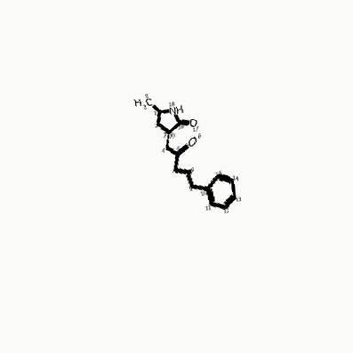 CC1C[C@H](CC(=O)CCCc2ccccc2)C(=O)N1